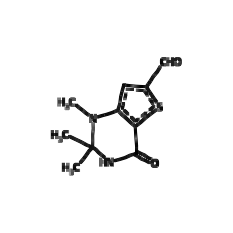 CN1c2cc(C=O)sc2C(=O)NC1(C)C